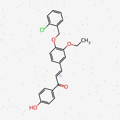 CCOc1cc(/C=C/C(=O)c2ccc(O)cc2)ccc1OCc1ccccc1Cl